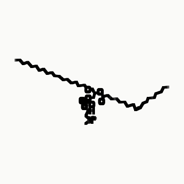 CCCCCCCC/C=C\CCCCCCCC(=O)O[C@H](COCCCCCCCCCCCCCCCCCC)COP(=O)(O)OCC[N+](C)(C)C